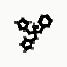 OC(Cc1ccccc1)(Cn1cncn1)Cn1cncn1